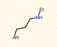 [CH2]CCCCCNCC